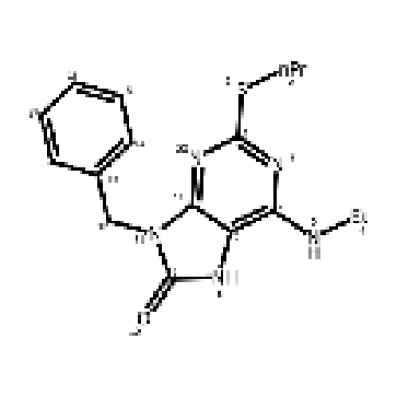 CCCSc1nc(NCC)c2[nH]c(=O)n(Cc3ccccc3)c2n1